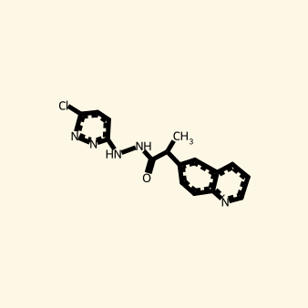 CC(C(=O)NNc1ccc(Cl)nn1)c1ccc2ncccc2c1